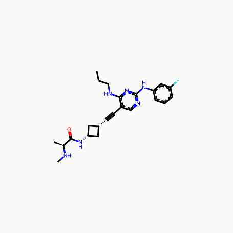 CCCNc1nc(Nc2cccc(F)c2)ncc1C#C[C@H]1C[C@@H](NC(=O)[C@H](C)NC)C1